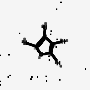 [2H]c1oc([2H])c([2H])c1[2H]